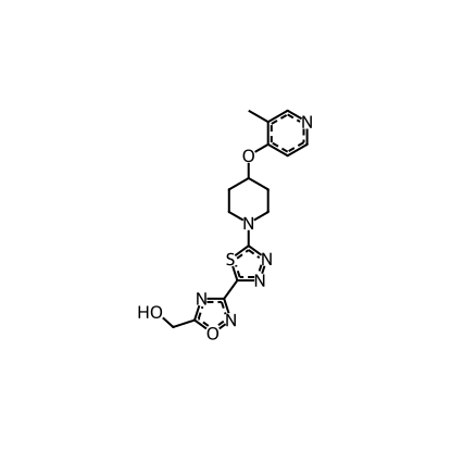 Cc1cnccc1OC1CCN(c2nnc(-c3noc(CO)n3)s2)CC1